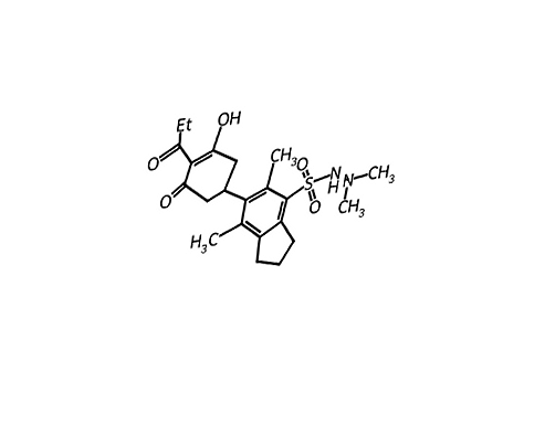 CCC(=O)C1=C(O)CC(c2c(C)c3c(c(S(=O)(=O)NN(C)C)c2C)CCC3)CC1=O